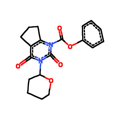 O=C(Oc1ccccc1)n1c2c(c(=O)n(C3CCCCO3)c1=O)CCC2